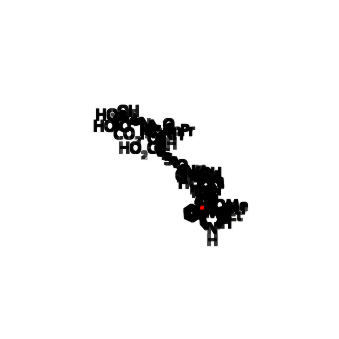 CCCC(=O)N[C@@H](Cc1cn(CCO[C@@H]2OC(C(=O)O)C(O)[C@H](O)C2O)nn1)C(=O)N[C@H](CSSCCOC(=O)NNC(=O)[C@@]1(O)[C@H](O)[C@]2(CC)C=CCN3CC[C@@]4(c5cc([C@]6(C(=O)OC)c7[nH]c8ccccc8c7CCNC[C@H]7CC6C[C@](O)(CC)C7)c(OC)cc5N(C)[C@@H]14)[C@@H]32)C(=O)O